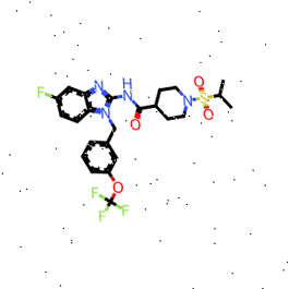 CC(C)S(=O)(=O)N1CCC(C(=O)Nc2nc3cc(F)ccc3n2Cc2cccc(OC(F)(F)F)c2)CC1